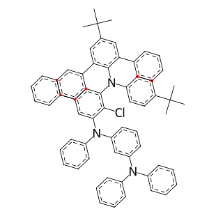 CC(C)(C)c1ccc(N(c2cc(-c3ccccc3)cc(N(c3ccccc3)c3cccc(N(c4ccccc4)c4ccccc4)c3)c2Cl)c2c(-c3ccccc3)cc(C(C)(C)C)cc2-c2ccccc2)cc1